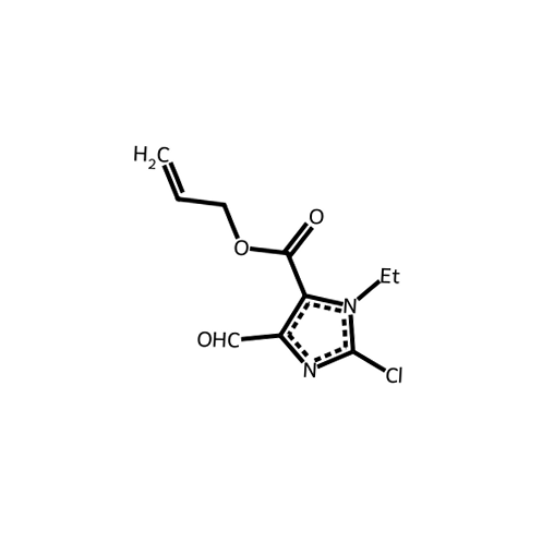 C=CCOC(=O)c1c(C=O)nc(Cl)n1CC